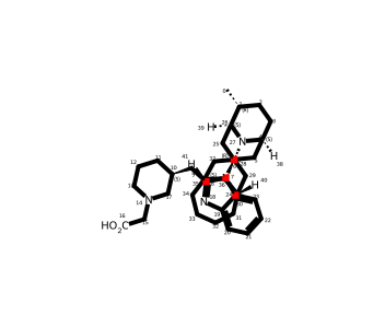 C[C@@H]1CC[C@H]2C[C@@H](n3c(C[C@@H]4CCCN(CC(=O)O)C4)nc4ccccc43)C[C@@H]1N2[C@@H]1C[C@@H]2CCCC[C@@H](C2)C1